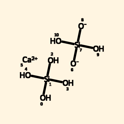 O[Si](O)(O)O.[Ca+2].[O-][Si]([O-])(O)O